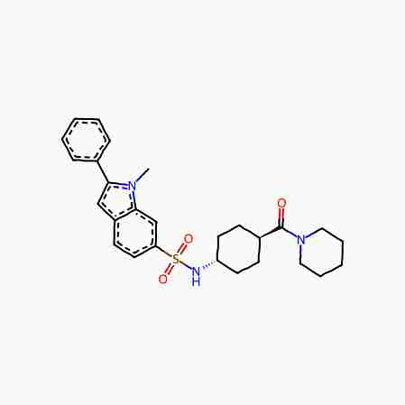 Cn1c(-c2ccccc2)cc2ccc(S(=O)(=O)N[C@H]3CC[C@H](C(=O)N4CCCCC4)CC3)cc21